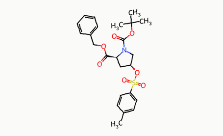 Cc1ccc(S(=O)(=O)O[C@H]2C[C@@H](C(=O)OCc3ccccc3)N(C(=O)OC(C)(C)C)C2)cc1